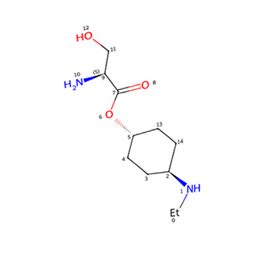 CCN[C@H]1CC[C@H](OC(=O)[C@@H](N)CO)CC1